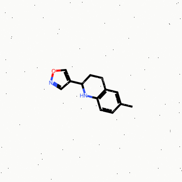 Cc1ccc2c(c1)CCC(c1cnoc1)N2